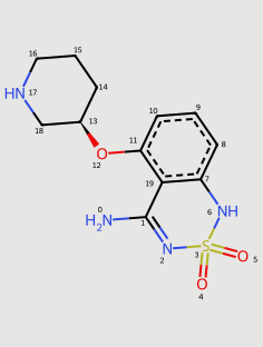 NC1=NS(=O)(=O)Nc2cccc(O[C@@H]3CCCNC3)c21